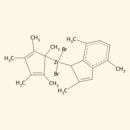 CC1=Cc2c(C)ccc(C)c2[CH]1[Zr]([Br])([Br])[C]1(C)C(C)=C(C)C(C)=C1C